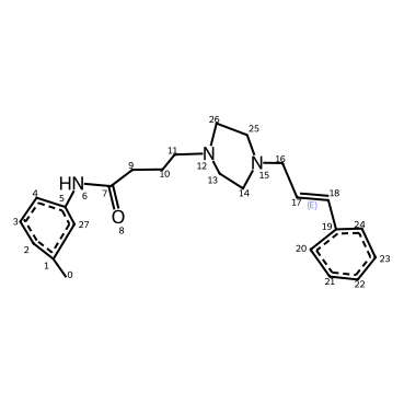 Cc1cccc(NC(=O)CCCN2CCN(C/C=C/c3ccccc3)CC2)c1